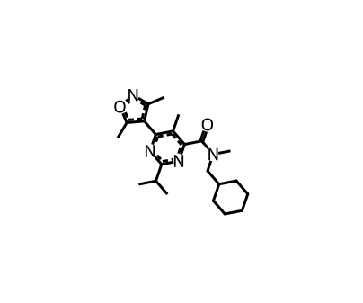 Cc1noc(C)c1-c1nc(C(C)C)nc(C(=O)N(C)CC2CCCCC2)c1C